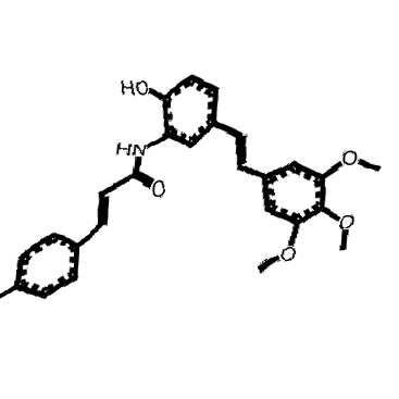 COc1cc(/C=C/c2ccc(O)c(NC(=O)/C=C/c3ccc(F)cc3)c2)cc(OC)c1OC